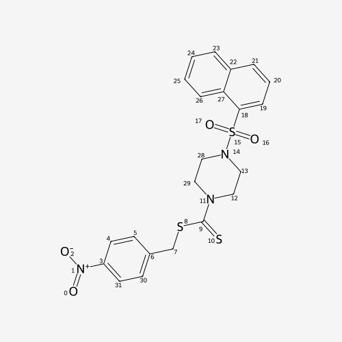 O=[N+]([O-])c1ccc(CSC(=S)N2CCN(S(=O)(=O)c3cccc4ccccc34)CC2)cc1